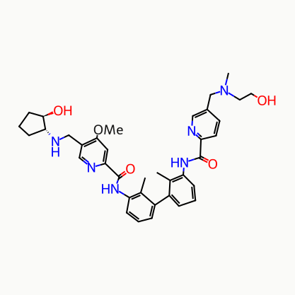 COc1cc(C(=O)Nc2cccc(-c3cccc(NC(=O)c4ccc(CN(C)CCO)cn4)c3C)c2C)ncc1CN[C@@H]1CCC[C@H]1O